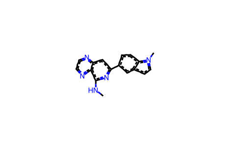 CNc1nc(-c2ccc3c(ccn3C)c2)cc2nccnc12